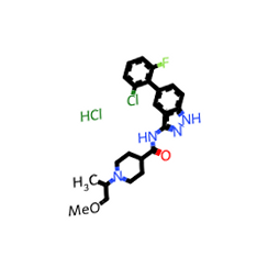 COCC(C)N1CCC(C(=O)Nc2n[nH]c3ccc(-c4c(F)cccc4Cl)cc23)CC1.Cl